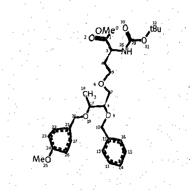 COC(=O)[C@H](CCOC[C@@H](OCc1ccccc1)C(C)OCc1ccc(OC)cc1)NC(=O)OC(C)(C)C